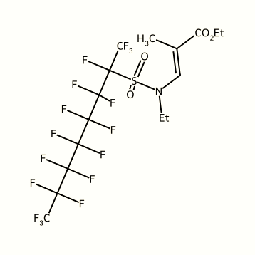 CCOC(=O)C(C)=CN(CC)S(=O)(=O)C(F)(C(F)(F)F)C(F)(F)C(F)(F)C(F)(F)C(F)(F)C(F)(F)C(F)(F)F